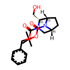 CC(C)(C)OC(=O)N1[C@@H]2CC[C@H]1[C@@H](CO)N(C(=O)OCc1ccccc1)C2